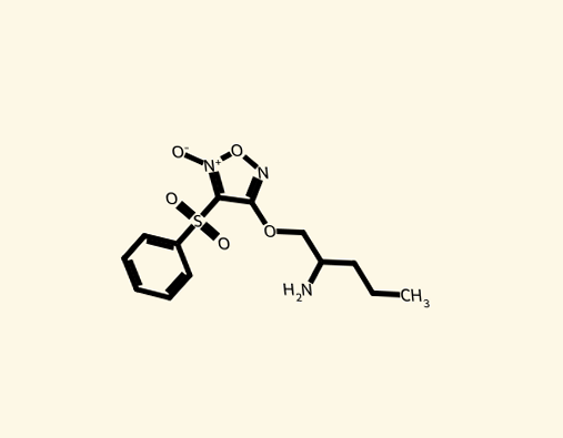 CCCC(N)COc1no[n+]([O-])c1S(=O)(=O)c1ccccc1